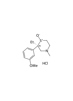 CC[C@@]1(c2cccc(OC)c2)CN(C)CC[S+]1[O-].Cl